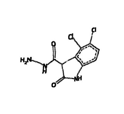 NNC(=O)C1C(=O)Nc2ccc(Cl)c(Cl)c21